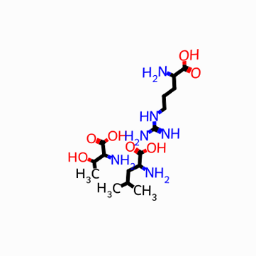 CC(C)CC(N)C(=O)O.CC(O)C(N)C(=O)O.N=C(N)NCCCC(N)C(=O)O